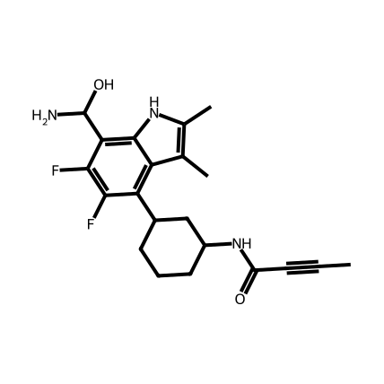 CC#CC(=O)NC1CCCC(c2c(F)c(F)c(C(N)O)c3[nH]c(C)c(C)c23)C1